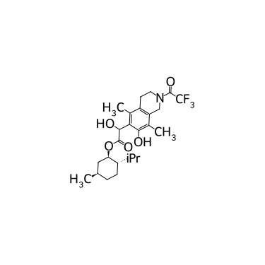 Cc1c(O)c(C(O)C(=O)O[C@@H]2C[C@H](C)CC[C@H]2C(C)C)c(C)c2c1CN(C(=O)C(F)(F)F)CC2